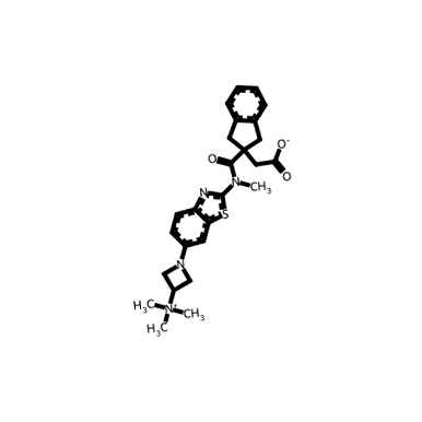 CN(C(=O)C1(CC(=O)[O-])Cc2ccccc2C1)c1nc2ccc(N3CC([N+](C)(C)C)C3)cc2s1